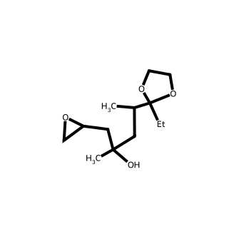 CCC1(C(C)CC(C)(O)CC2CO2)OCCO1